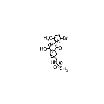 Cc1ccc(Br)nc1NC(=O)C1CC2(CNS(C)(=O)=O)CC2N1C(=O)O